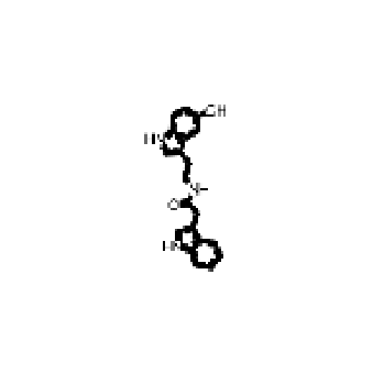 O=C(Cc1c[nH]c2ccccc12)NCCc1c[nH]c2ccc(O)cc12